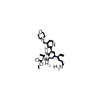 C=CC(=C\C=C/N)/C(=C/CN)/C=C(\C(=C)NC(=C)NC(=O)OCC)c1cc(CN2CCOCC2)ccn1